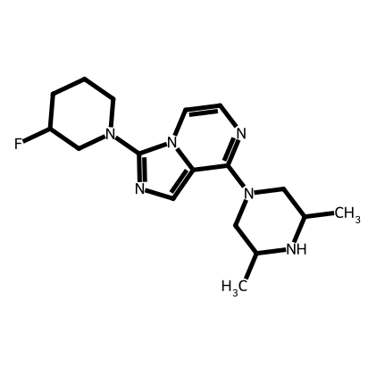 CC1CN(c2nccn3c(N4CCCC(F)C4)ncc23)CC(C)N1